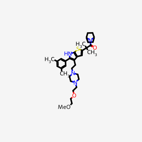 COCCOCCN1CCN(CCc2c(-c3cc(C)cc(C)c3)[nH]c3sc(C(C)(C)C(=O)N4C5CCC4CC5)cc23)CC1